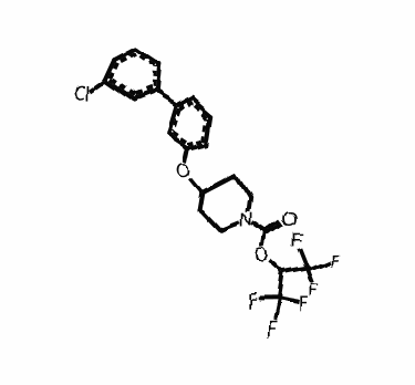 O=C(OC(C(F)(F)F)C(F)(F)F)N1CCC(Oc2cccc(-c3cccc(Cl)c3)c2)CC1